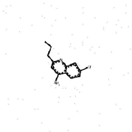 CCCc1cc(N)c2ccc(Cl)cc2n1